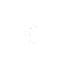 O=C(c1cc2nccc(Oc3cc[c]cc3F)c2s1)N1CC(O)C1